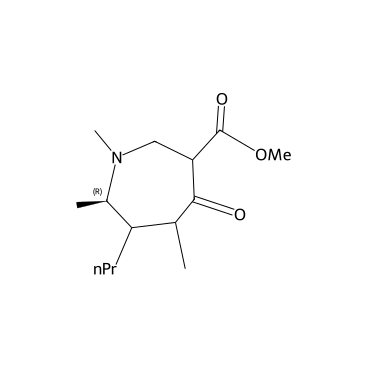 CCCC1C(C)C(=O)C(C(=O)OC)CN(C)[C@@H]1C